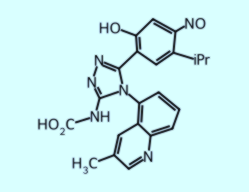 Cc1cnc2cccc(-n3c(NC(=O)O)nnc3-c3cc(C(C)C)c(N=O)cc3O)c2c1